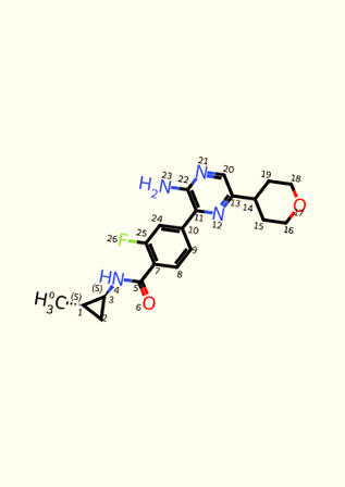 C[C@H]1C[C@@H]1NC(=O)c1ccc(-c2nc(C3CCOCC3)cnc2N)cc1F